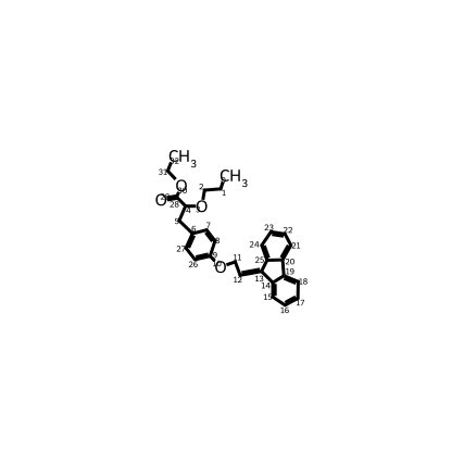 CCCOC(Cc1ccc(OCC=C2c3ccccc3-c3ccccc32)cc1)C(=O)OCC